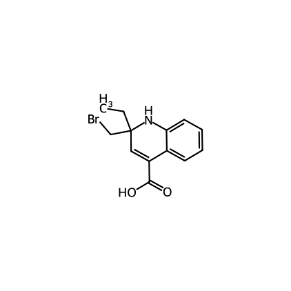 CCC1(CBr)C=C(C(=O)O)c2ccccc2N1